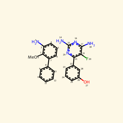 COc1c(N)cccc1-c1ccccc1.Nc1nc(N)c(F)c(-c2cccc(O)c2)n1